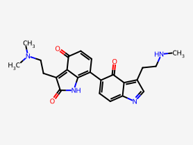 CNCCC1=C2C(=O)C(C3=C4NC(=O)C(CCN(C)C)=C4C(=O)C=C3)=CC=C2N=C1